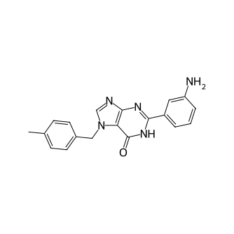 Cc1ccc(Cn2cnc3nc(-c4cccc(N)c4)[nH]c(=O)c32)cc1